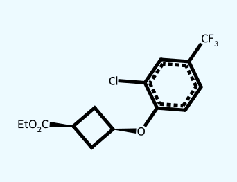 CCOC(=O)[C@H]1C[C@@H](Oc2ccc(C(F)(F)F)cc2Cl)C1